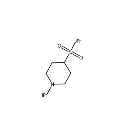 CC(C)N1CCC(S(=O)(=O)C(C)C)CC1